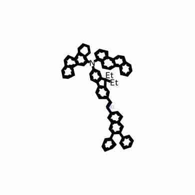 CCC1(CC)c2cc(/C=C/c3ccc4cc(-c5ccccc5)c(-c5ccccc5)cc4c3)ccc2-c2ccc(N(c3cc4c(ccc5ccccc54)c4c3CCC=C4)c3cccc4c3ccc3c5ccccc5ccc43)cc21